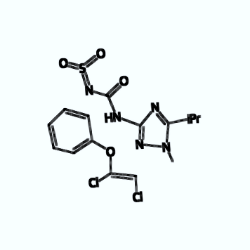 CC(C)c1nc(NC(=O)N=S(=O)=O)nn1C.ClC=C(Cl)Oc1ccccc1